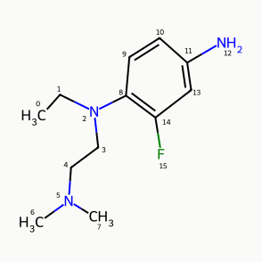 CCN(CCN(C)C)c1ccc(N)cc1F